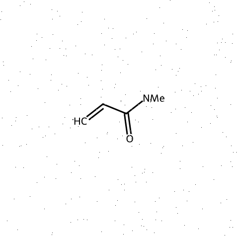 [CH]=CC(=O)NC